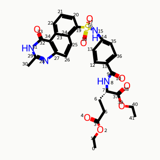 CCOC(=O)CC[C@H](NC(=O)c1ccc(NS(=O)(=O)c2cccc3c2ccc2nc(C)[nH]c(=O)c23)cc1)C(=O)OCC